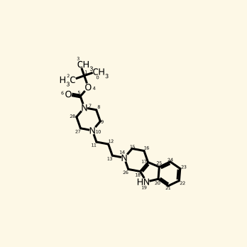 CC(C)(C)OC(=O)N1CCN(CCCN2CCc3c([nH]c4ccccc34)C2)CC1